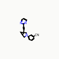 N#Cc1cccc(N2CC3CC3(C#Cc3ncccn3)C2)c1